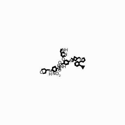 O=C(NS(=O)(=O)c1ccc(NCC2CCOCC2)c([N+](=O)[O-])c1)c1ccc(N2CC3(CC(CN4CCCC4c4ccccc4C4CC4)C3)C2)cc1Oc1cnc2[nH]ccc2c1